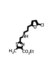 CCOC(=O)c1nc(CNCCCc2ccc(Cl)o2)sc1C